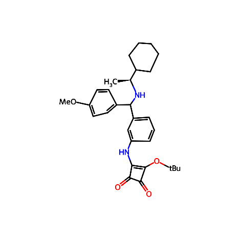 COc1ccc(C(N[C@@H](C)C2CCCCC2)c2cccc(Nc3c(OC(C)(C)C)c(=O)c3=O)c2)cc1